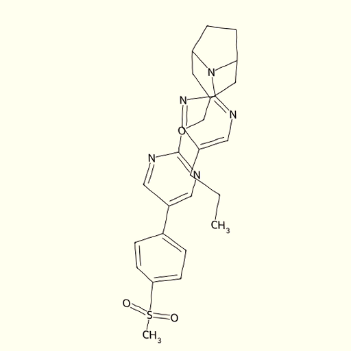 CCCc1cnc(N2C3CCC2CC(COc2ncc(-c4ccc(S(C)(=O)=O)cc4)cn2)C3)nc1